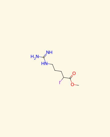 COC(=O)C(I)CCCNC(=N)N